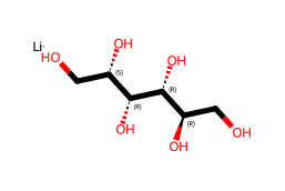 OC[C@@H](O)[C@@H](O)[C@H](O)[C@@H](O)CO.[Li]